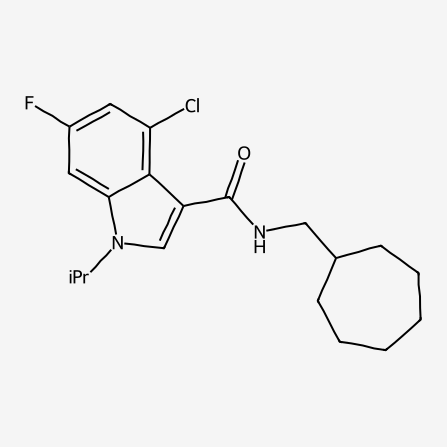 CC(C)n1cc(C(=O)NCC2CCCCCC2)c2c(Cl)cc(F)cc21